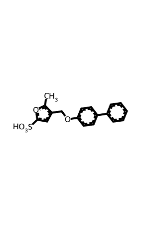 Cc1oc(S(=O)(=O)O)cc1COc1ccc(-c2ccccc2)cc1